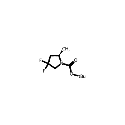 C[C@@H]1CC(F)(F)CN1C(=O)OC(C)(C)C